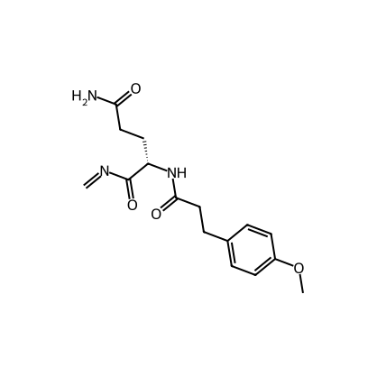 C=NC(=O)[C@H](CCC(N)=O)NC(=O)CCc1ccc(OC)cc1